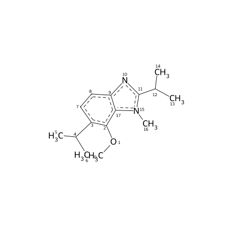 COc1c(C(C)C)ccc2nc(C(C)C)n(C)c12